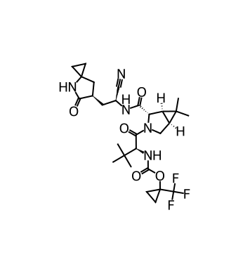 CC(C)(C)[C@H](NC(=O)OC1(C(F)(F)F)CC1)C(=O)N1C[C@H]2[C@@H]([C@H]1C(=O)N[C@H](C#N)C[C@@H]1CC3(CC3)NC1=O)C2(C)C